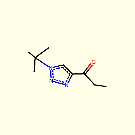 CCC(=O)c1cn(C(C)(C)C)nn1